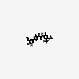 CCOc1cc(-c2ncc(NC(=O)Nc3cc(C(F)(F)F)c(CN(C)C)cc3F)c(C)n2)c[nH]c1=O